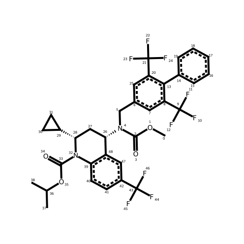 COC(=O)N(Cc1cc(C(F)(F)F)c(-c2ccccc2)c(C(F)(F)F)c1)[C@H]1C[C@@H](C2CC2)N(C(=O)OC(C)C)c2ccc(C(F)(F)F)cc21